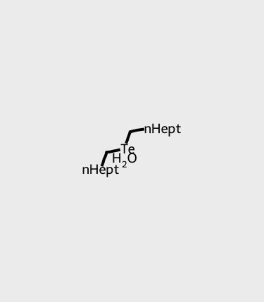 CCCCCCCC[Te]CCCCCCCC.O